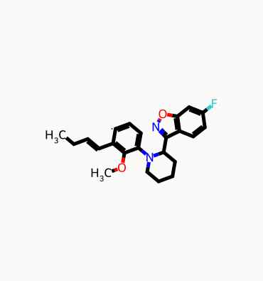 CC/C=C/c1[c]ccc(N2CCCCC2c2noc3cc(F)ccc23)c1OC